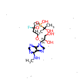 CNc1ncnc2c1ncn2[C@H](OCCC(C)(F)OP(=O)(O)C(C)(C)O)[C@H](O)CO